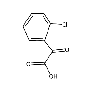 O=C(O)C(=O)c1ccccc1Cl